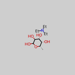 CCN(CC)CC.C[C@@H]1OC(O)[C@@H](O)[C@H](O)[C@@H]1O